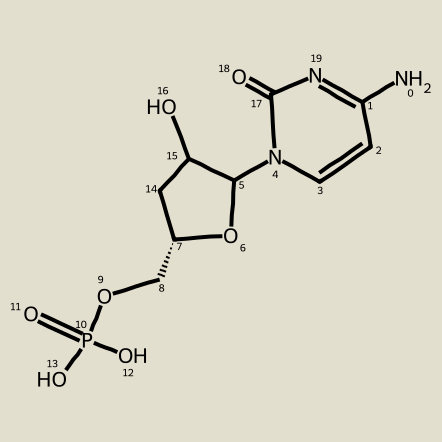 Nc1ccn(C2O[C@H](COP(=O)(O)O)CC2O)c(=O)n1